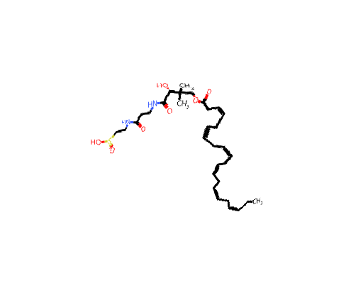 CC/C=C\C/C=C\C/C=C\C/C=C\C/C=C\C/C=C\CC(=O)OCC(C)(C)[C@@H](O)C(=O)NCCC(=O)NCCS(=O)O